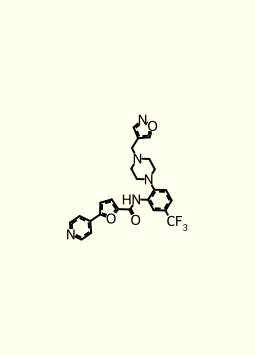 O=C(Nc1cc(C(F)(F)F)ccc1N1CCN(Cc2cnoc2)CC1)c1ccc(-c2ccncc2)o1